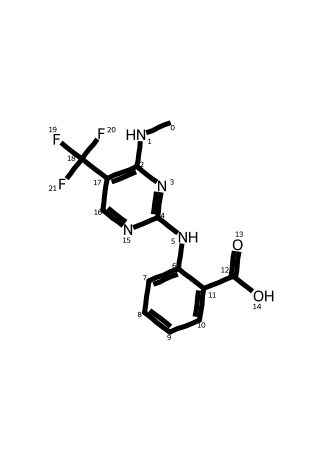 CNc1nc(Nc2ccccc2C(=O)O)ncc1C(F)(F)F